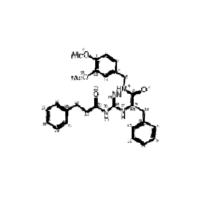 COc1ccc(CNC(=O)[C@@H](Cc2ccccc2)NC(=N)NC(=O)CCc2ccccc2)cc1OC